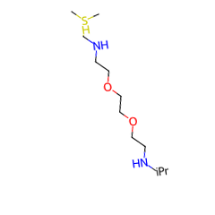 CC(C)NCCOCCOCCNC[SH](C)C